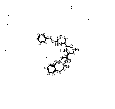 CC(C)C[C@H](NC(=O)[C@H](CC(C)C)NC(=O)OCc1ccccc1)C(=O)CN1Cc2ccccc2CCS1(=O)=O